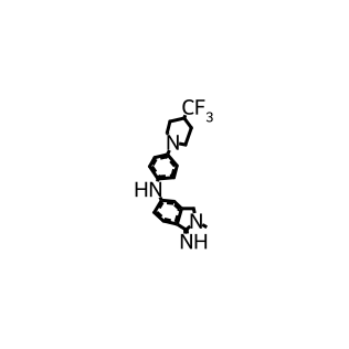 CN1Cc2cc(Nc3ccc(N4CCC(C(F)(F)F)CC4)cc3)ccc2C1=N